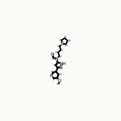 COc1cncc(-c2cc(N(C=O)CCCCN3CCCC3)[nH]n2)c1